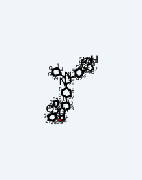 c1ccc(C2=NC(c3ccc(-c4ccc5c(c4)C4(c6ccccc6Oc6ccccc64)c4ccccc4-5)cc3)CC(c3ccc(C45CC[C@@H](CC6CC(C6)C4)C5)cc3)=N2)cc1